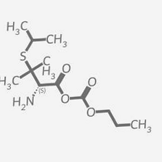 CCCOC(=O)OC(=O)[C@H](N)C(C)(C)SC(C)C